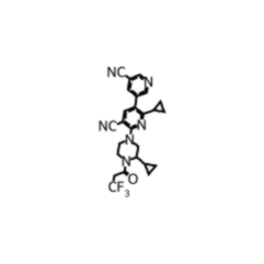 N#Cc1cncc(-c2cc(C#N)c(N3CCN(C(=O)CC(F)(F)F)C(C4CC4)C3)nc2C2CC2)c1